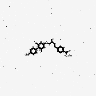 COC(=O)c1ccc(CCC(C)COc2cc(C)c(-c3ccc(C(C)(C)C)cc3)c(C)c2)cc1